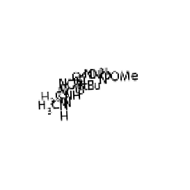 COc1cnc(N2CCN(CCOc3cc4ncnc(Nc5n[nH]c(C)c5C)c4cc3S(=O)(=O)C(C)(C)C)CC2)nc1